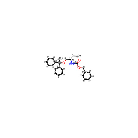 CC(C)C[C@@H](CO[Si](c1ccccc1)(c1ccccc1)C(C)(C)C)NC(=O)OCc1ccccc1